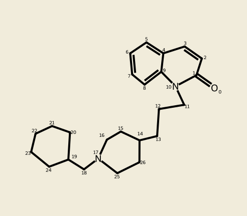 O=c1ccc2ccccc2n1CCCC1CCN(CC2CCCCC2)CC1